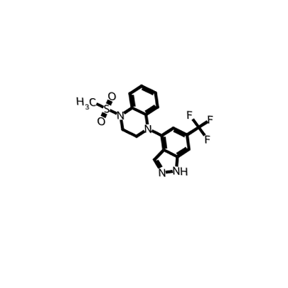 CS(=O)(=O)N1CCN(c2cc(C(F)(F)F)cc3[nH]ncc23)c2ccccc21